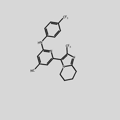 N#Cc1cc(Nc2ccc(C(F)(F)F)cc2)nc(-c2c(C(F)(F)F)nc3n2CCCC3)c1